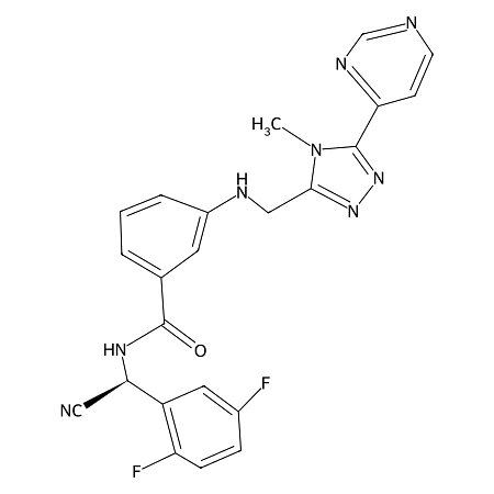 Cn1c(CNc2cccc(C(=O)N[C@H](C#N)c3cc(F)ccc3F)c2)nnc1-c1ccncn1